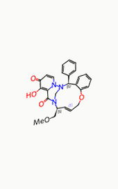 COC[C@@H]1/C=C/COc2ccccc2[C@H](c2ccccc2)N2CN1C(=O)c1c(O)c(=O)ccn12